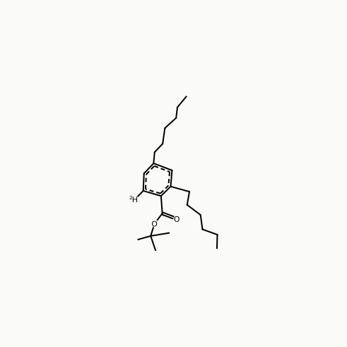 [2H]c1cc(CCCCCC)cc(CCCCCC)c1C(=O)OC(C)(C)C